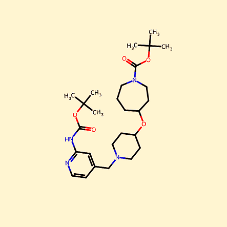 CC(C)(C)OC(=O)Nc1cc(CN2CCC(OC3CCCN(C(=O)OC(C)(C)C)CC3)CC2)ccn1